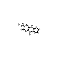 Cn1nc2c(nc1=S)Nc1ccccc1O2